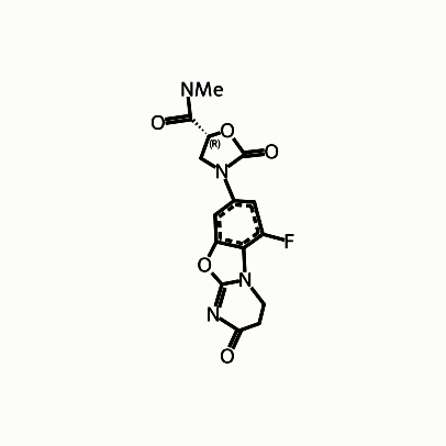 CNC(=O)[C@H]1CN(c2cc(F)c3c(c2)OC2=NC(=O)CCN23)C(=O)O1